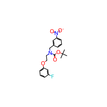 CC(C)(C)OC(=O)N(CCOc1cccc(F)c1)Cc1cccc([N+](=O)[O-])c1